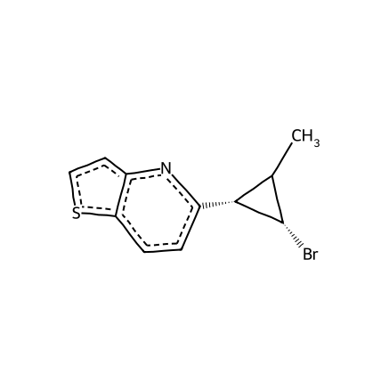 CC1[C@@H](c2ccc3sccc3n2)[C@H]1Br